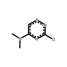 CN(C)c1cnnc(Cl)n1